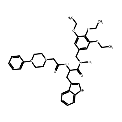 CCOc1cc(CN(C)C(=O)C(Cc2c[nH]c3ccccc23)NC(=O)CN2CCN(c3ccccc3)CC2)cc(OCC)c1OCC